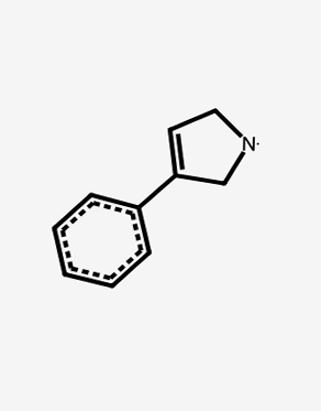 C1=C(c2ccccc2)C[N]C1